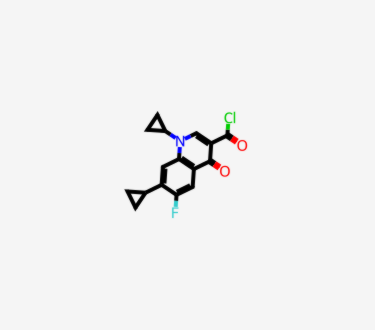 O=C(Cl)c1cn(C2CC2)c2cc(C3CC3)c(F)cc2c1=O